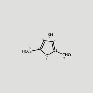 O=Cc1ccc(S(=O)(=O)O)o1.[KH]